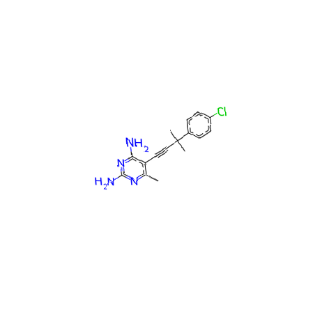 Cc1nc(N)nc(N)c1C#CC(C)(C)c1ccc(Cl)cc1